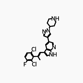 C/C(=C\c1c[nH]c2ncc(-c3cnn(C4CCNCC4)c3)cc12)c1c(Cl)ccc(F)c1Cl